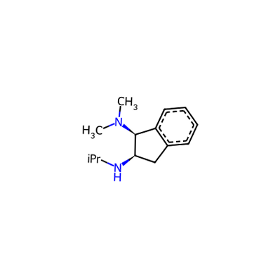 CC(C)N[C@@H]1Cc2ccccc2[C@@H]1N(C)C